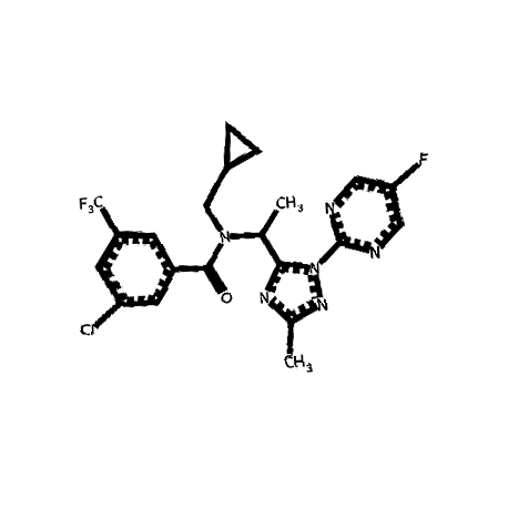 Cc1nc(C(C)N(CC2CC2)C(=O)c2cc(Cl)cc(C(F)(F)F)c2)n(-c2ncc(F)cn2)n1